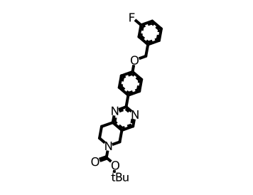 CC(C)(C)OC(=O)N1CCc2nc(-c3ccc(OCc4cccc(F)c4)cc3)ncc2C1